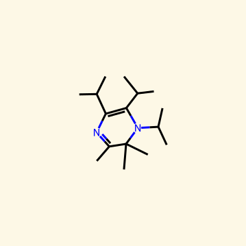 CC1=NC(C(C)C)=C(C(C)C)N(C(C)C)C1(C)C